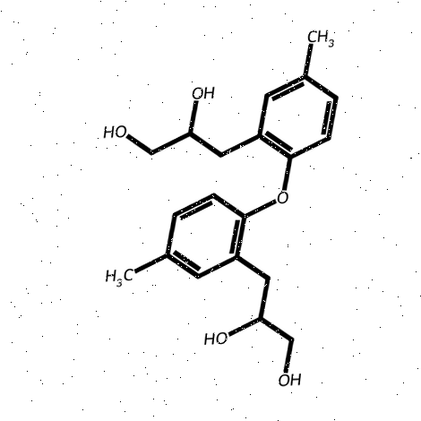 Cc1ccc(Oc2ccc(C)cc2CC(O)CO)c(CC(O)CO)c1